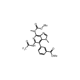 COC(=O)c1cccc(-c2c(NC(=O)C(F)(F)F)nc(N(C)C(=O)OC(C)(C)C)c3ncn(C)c23)c1